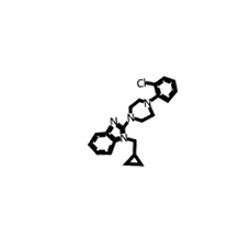 Clc1ccccc1N1CCN(c2nc3ccccc3n2CC2CC2)CC1